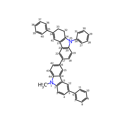 Cn1c2ccc(-c3ccccc3)cc2c2cc(-c3ccc4c(c3)c3c(n4-c4ccccc4)CCC(c4ccccc4)=C3)ccc21